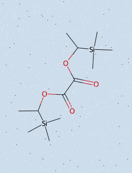 CC(OC(=O)C(=O)OC(C)[Si](C)(C)C)[Si](C)(C)C